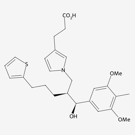 COc1cc([C@@H](O)[C@@H](CCCc2cccs2)Cn2ccc(CCC(=O)O)c2)cc(OC)c1C